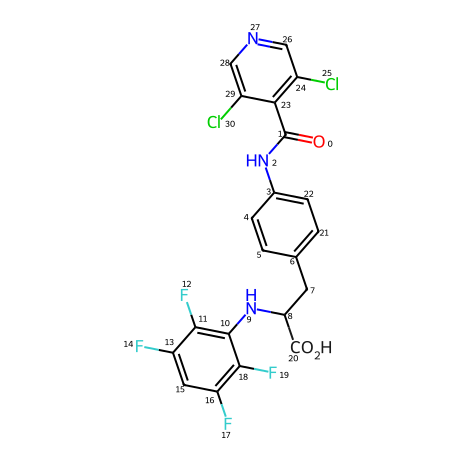 O=C(Nc1ccc(CC(Nc2c(F)c(F)cc(F)c2F)C(=O)O)cc1)c1c(Cl)cncc1Cl